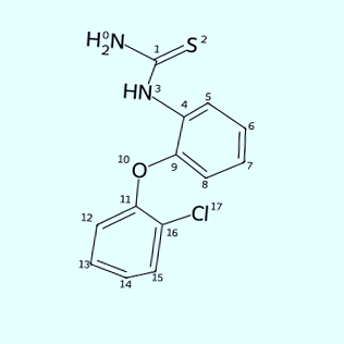 NC(=S)Nc1ccccc1Oc1ccccc1Cl